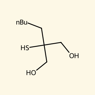 CCCCCC(S)(CO)CO